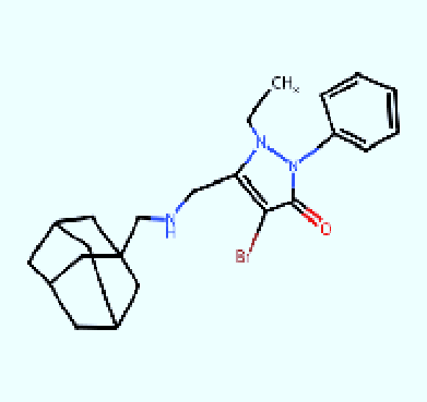 CCn1c(CNCC23CC4CC(CC(C4)C2)C3)c(Br)c(=O)n1-c1ccccc1